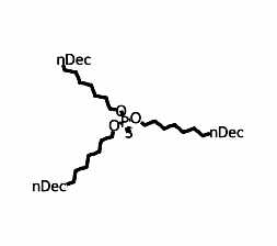 CCCCCCCCCCCCCCCCCOP(=S)(OCCCCCCCCCCCCCCCCC)OCCCCCCCCCCCCCCCCC